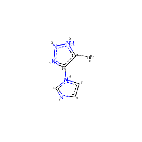 CCCc1[nH]nnc1-n1ccnc1